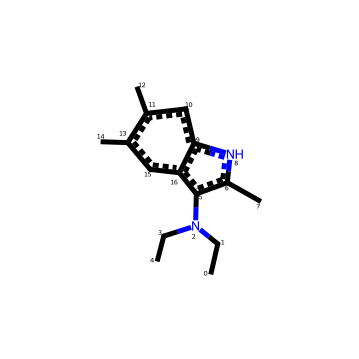 CCN(CC)c1c(C)[nH]c2cc(C)c(C)cc12